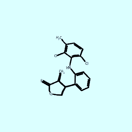 C=C1C(=S)OCC1c1ccccc1Nc1c(Cl)ccc(C)c1Cl